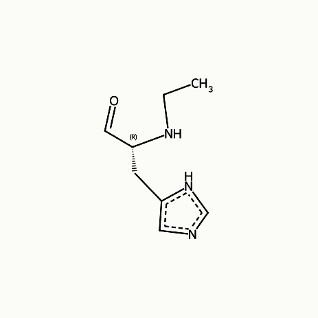 CCN[C@@H](C=O)Cc1cnc[nH]1